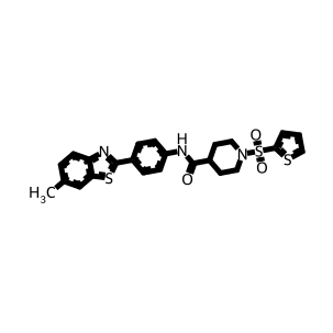 Cc1ccc2nc(-c3ccc(NC(=O)C4CCN(S(=O)(=O)c5cccs5)CC4)cc3)sc2c1